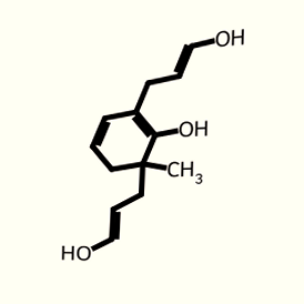 CC1(CC=CO)CC=CC(CC=CO)=C1O